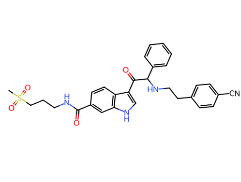 CS(=O)(=O)CCCNC(=O)c1ccc2c(C(=O)C(NCCc3ccc(C#N)cc3)c3ccccc3)c[nH]c2c1